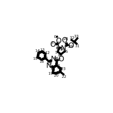 COC(=O)[C@@H]1C[C@@H](Oc2nc(-c3ccccc3)nc3ccc(C)cc23)CN1C(=O)OC(C)(C)C